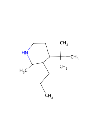 CCCC1C(C)NCCC1C(C)(C)C